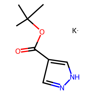 CC(C)(C)OC(=O)c1cn[nH]c1.[K]